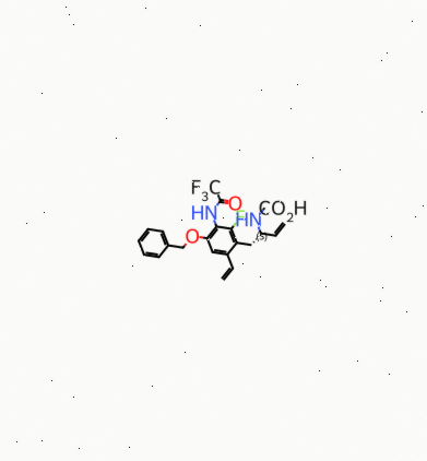 C=Cc1cc(OCc2ccccc2)c(NC(=O)C(F)(F)F)c(F)c1C[C@@H](C=C)NC(=O)O